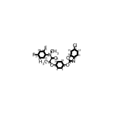 C[C@@H](Oc1ccc(Oc2nc3ccc(Cl)cc3o2)cc1)C(=O)N(C)c1ccc(F)cc1F